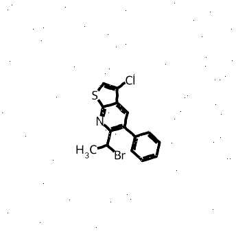 CC(Br)c1nc2scc(Cl)c2cc1-c1ccccc1